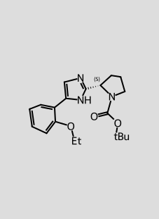 CCOc1ccccc1-c1cnc([C@@H]2CCCN2C(=O)OC(C)(C)C)[nH]1